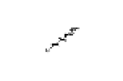 CCCOCCOCCP